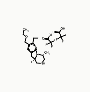 CCOCc1cc2c(nc1CF)N1[C@@H](CNC[C@H]1C)C2.O=C(O)C(F)(F)F.O=C(O)C(F)(F)F